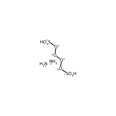 N.N.O=S(=O)(O)OOOOS(=O)(=O)O